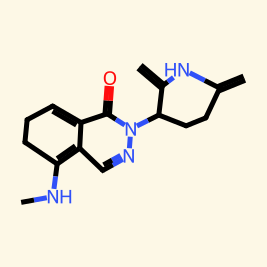 C=C1CCC(n2ncc3c(c2=O)=CCCC=3NC)C(=C)N1